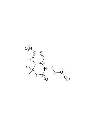 CC1(C)CC(=O)N(CCOC(F)(F)F)c2ccc([N+](=O)[O-])cc21